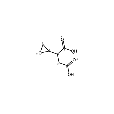 O=C(O)CC(C(=O)O)C1CO1